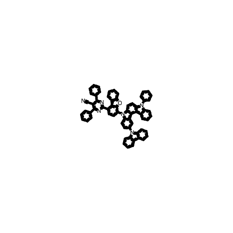 N#Cc1c(-c2ccccc2)nc(-c2ccc(-n3c4ccc(-n5c6ccccc6c6ccccc65)cc4c4c5c6ccccc6n(-c6ccccc6)c5ccc43)c3oc4ccccc4c23)nc1-c1ccccc1